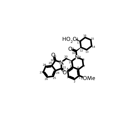 COc1cccc2c1CCN(C(=O)[C@@H]1CCCC[C@@H]1C(=O)O)[C@@H]2CN1C(=O)c2ccccc2C1=O